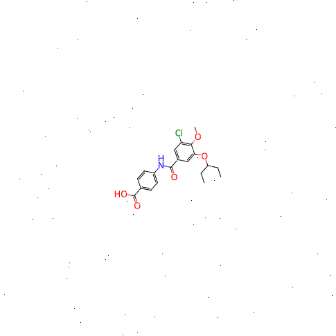 CCC(CC)Oc1cc(C(=O)Nc2ccc(C(=O)O)cc2)cc(Cl)c1OC